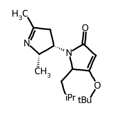 CC1=N[C@@H](C)[C@@H](N2C(=O)C=C(OC(C)(C)C)C2CC(C)C)C1